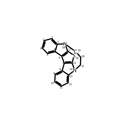 c1ccc2c(c1)c1c3c4ccccc4n4c3sc1n2CCC4